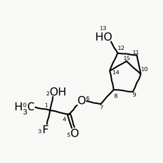 CC(O)(F)C(=O)OCC1CC2CC(O)C1C2